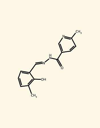 Cc1ccc(C(=O)N/N=C/c2cccc(C)c2O)cn1